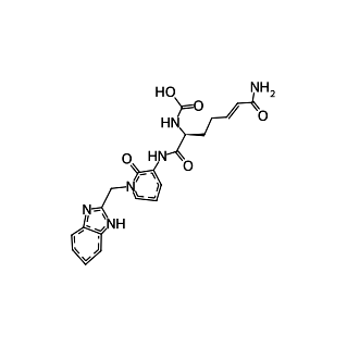 NC(=O)/C=C/CC[C@H](NC(=O)O)C(=O)Nc1cccn(Cc2nc3ccccc3[nH]2)c1=O